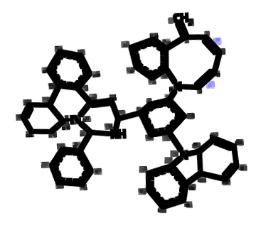 C=C1/C=C\C=C/N(c2cc(C3C=C(c4ccccc4C4C=CCCC4)NC(c4ccccc4)N3)cc(N3c4ccccc4C4C=CC=CC43)c2)c2ccccc21